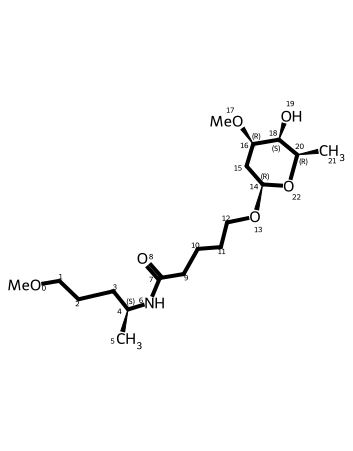 COCCC[C@H](C)NC(=O)CCCCO[C@H]1C[C@@H](OC)[C@@H](O)[C@@H](C)O1